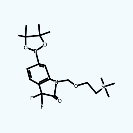 CC1(C)OB(c2ccc3c(c2)N(COCC[Si](C)(C)C)C(=O)C3(F)F)OC1(C)C